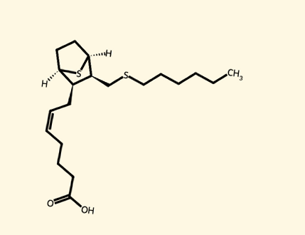 CCCCCCSC[C@H]1[C@@H](C/C=C\CCCC(=O)O)[C@H]2CC[C@@H]1S2